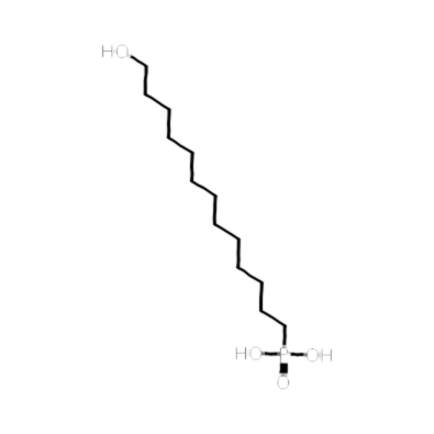 O=P(O)(O)CCCCCCCCCCCCCO